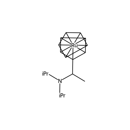 CC(C)N(C(C)C)C(C)[C]12[CH]3[CH]4[CH]5[CH]1[Ru]45321678[CH]2[CH]1[CH]6[CH]7[CH]28